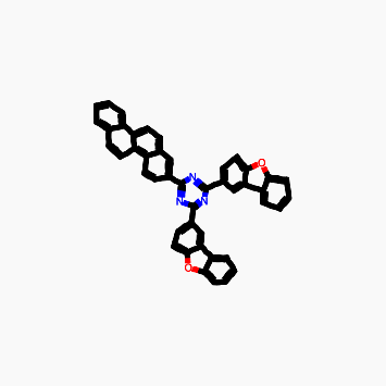 c1ccc2c(c1)ccc1c3ccc(-c4nc(-c5ccc6oc7ccccc7c6c5)nc(-c5ccc6oc7ccccc7c6c5)n4)cc3ccc21